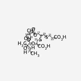 CC=CC(C)(O)C(O)OCC(C)(CO)C(=O)OCC(CSCCC(=O)O)SCCC(=O)O